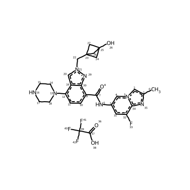 Cc1cn2cc(NC(=O)c3ccc(N4CCNCC4)c4cn(CC56CC(O)(C5)C6)nc34)cc(F)c2n1.O=C(O)C(F)(F)F